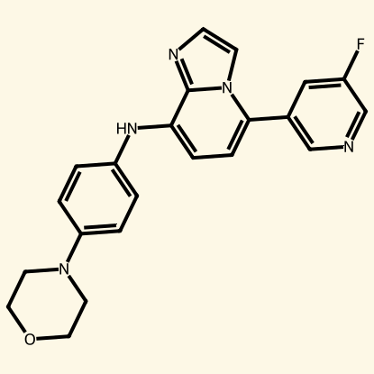 Fc1cncc(-c2ccc(Nc3ccc(N4CCOCC4)cc3)c3nccn23)c1